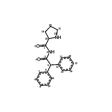 O=C(NC(=O)C(c1ccccc1)c1ccccc1)C1CCCN1